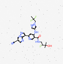 CC(F)(F)Cn1cc(Nc2cc(-c3cnn4cc(C#N)cnc34)ncc2C(=O)NCC(F)C(C)(C)O)cn1